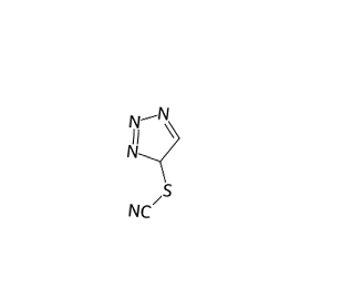 N#CSC1C=NN=N1